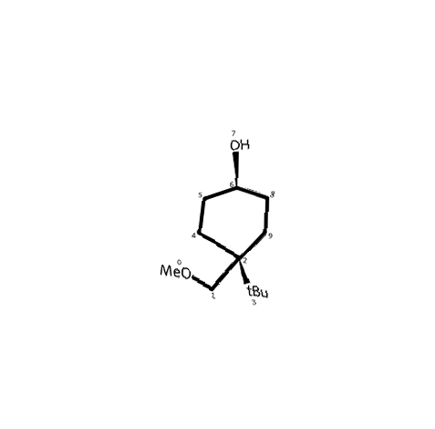 COC[C@]1(C(C)(C)C)CC[C@@H](O)CC1